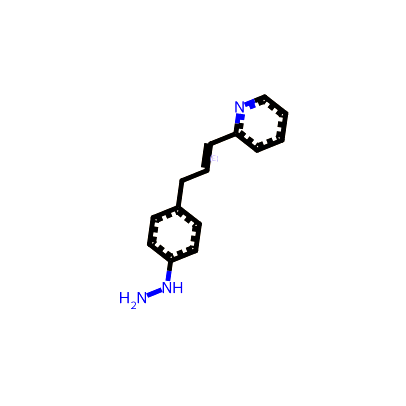 NNc1ccc(C/C=C/c2ccccn2)cc1